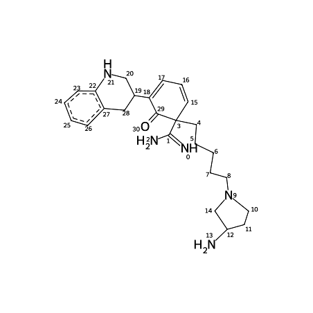 N=C(N)C1(CCCCCN2CCC(N)C2)C=CC=C(C2CNc3ccccc3C2)C1=O